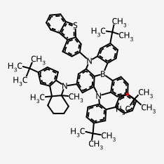 CC(C)(C)c1ccc(N2c3cc(C(C)(C)C)ccc3B3c4ccc(C(C)(C)C)cc4N(c4ccc5c(c4)sc4ccccc45)c4cc(N5c6ccc(C(C)(C)C)cc6C6(C)CCCCC56C)cc2c43)c(-c2ccccc2)c1